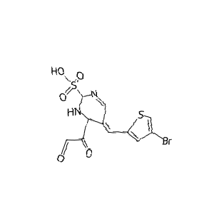 O=CC(=O)C1NC(S(=O)(=O)O)N=CC1=Cc1cc(Br)cs1